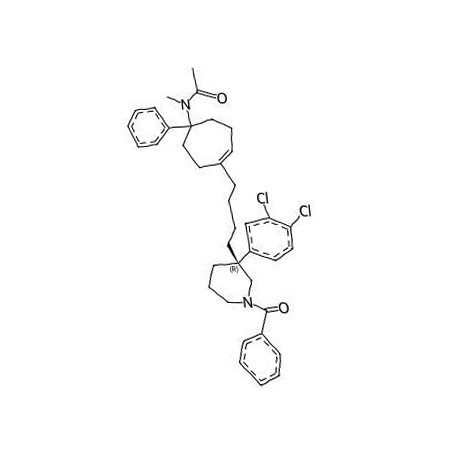 CC(=O)N(C)C1(c2ccccc2)CCC=C(CCCC[C@]2(c3ccc(Cl)c(Cl)c3)CCCN(C(=O)c3ccccc3)C2)CC1